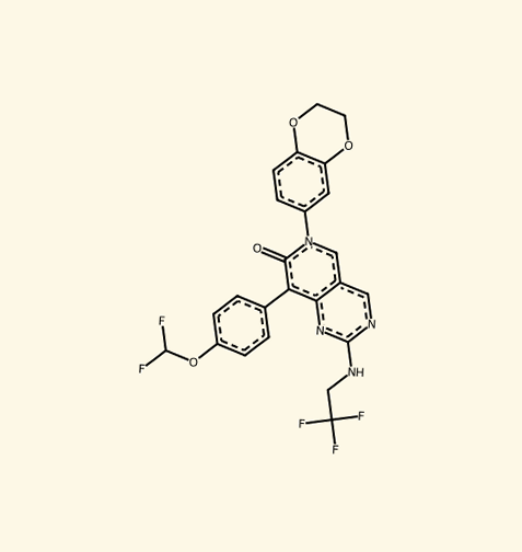 O=c1c(-c2ccc(OC(F)F)cc2)c2nc(NCC(F)(F)F)ncc2cn1-c1ccc2c(c1)OCCO2